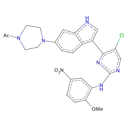 COc1ccc([N+](=O)[O-])cc1Nc1ncc(Cl)c(-c2c[nH]c3cc(N4CCN(C(C)=O)CC4)ccc23)n1